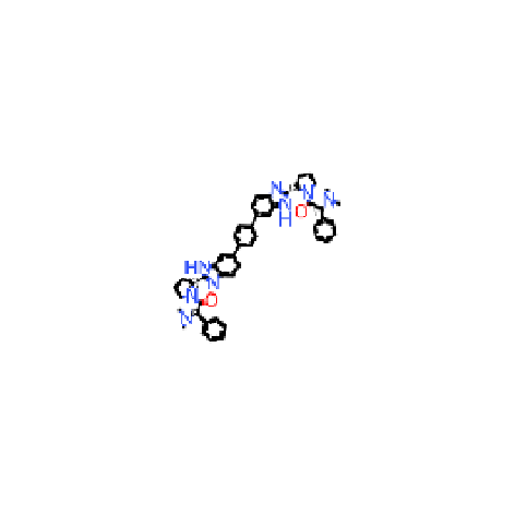 CN(C)[C@@H](C(=O)N1CCC[C@H]1c1nc2ccc(-c3ccc(-c4ccc5nc([C@@H]6CCCN6C(=O)[C@@H](c6ccccc6)N(C)C)[nH]c5c4)cc3)cc2[nH]1)c1ccccc1